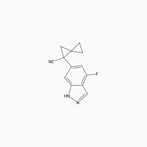 N#CC1(c2cc(F)c3cn[nH]c3c2)CC12CC2